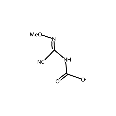 CO/N=C(\C#N)NC([O])=O